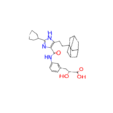 O=C(Nc1cccc(CC(O)C(=O)O)c1)c1nc(C2CCCCC2)[nH]c1CCC12CC3CC(CC(C3)C1)C2